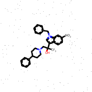 O=[N+]([O-])c1ccc2c(C(O)(CN3CCC(c4ccccc4)CC3)C(F)(F)F)cn(Cc3ccccc3)c2c1